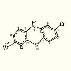 Clc1ccc2c(c1)Nc1ccc(Br)cc1S2